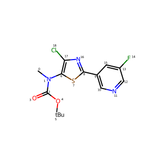 CN(C(=O)OC(C)(C)C)c1sc(-c2cncc(F)c2)nc1Cl